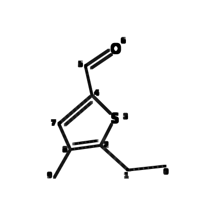 CCc1sc(C=O)cc1C